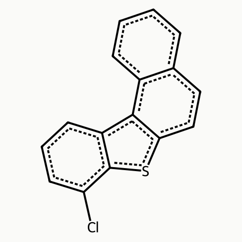 Clc1cccc2c1sc1ccc3ccccc3c12